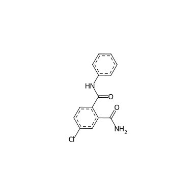 NC(=O)c1cc(Cl)ccc1C(=O)Nc1ccccc1